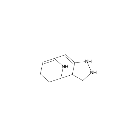 C1=C2C=C3NNCC3C(CC1)N2